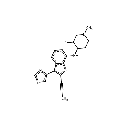 CC#Cc1sc2c(N[C@@H]3CCN(C)C[C@@H]3F)cccc2c1-c1cscn1